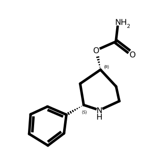 NC(=O)O[C@@H]1CCN[C@H](c2ccccc2)C1